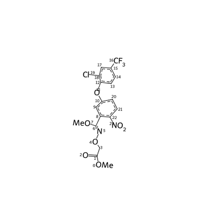 COC(=O)CON=C(OC)c1cc(Oc2ccc(C(F)(F)F)cc2Cl)ccc1[N+](=O)[O-]